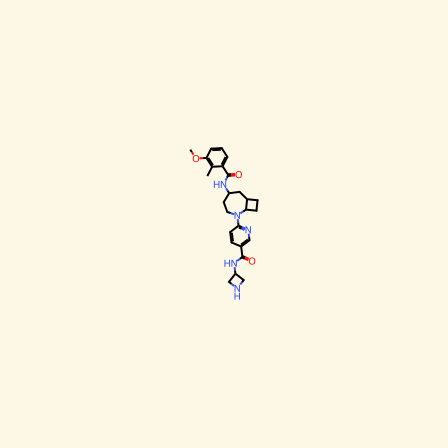 COc1cccc(C(=O)NC2CCN(c3ccc(C(=O)NC4CNC4)cn3)C3CCC3C2)c1C